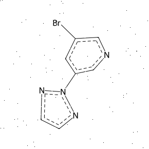 Brc1cncc(-n2nccn2)c1